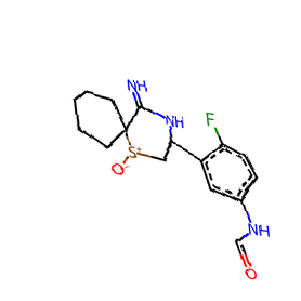 N=C1NC(c2cc(NC=O)ccc2F)C[S+]([O-])C12CCCCC2